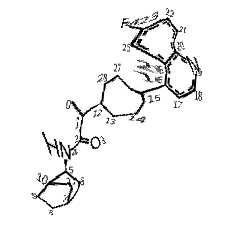 CC(C(=O)N[C@H]1CC2CCC1C2)C1CCC(c2ccnc3ccc(F)cc23)CC1